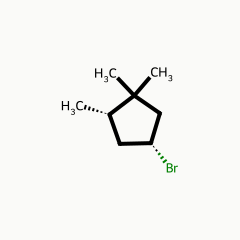 C[C@H]1C[C@@H](Br)CC1(C)C